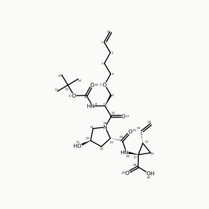 C=CCCCOC[C@H](NC(=O)OC(C)(C)C)C(=O)N1C[C@H](O)C[C@H]1C(=O)N[C@]1(C(=O)O)C[C@H]1C=C